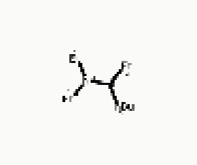 CCCCC(CC)N(CC)CC